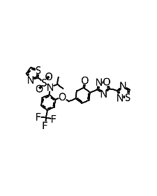 CC(C)N(c1ccc(C(F)(F)F)cc1OCC1=CC=C(c2noc(-c3ncsn3)n2)C(=O)C1)S(=O)(=O)c1nccs1